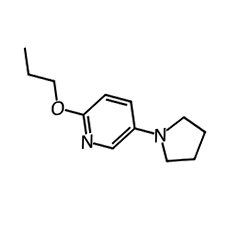 CCCOc1ccc(N2CCCC2)cn1